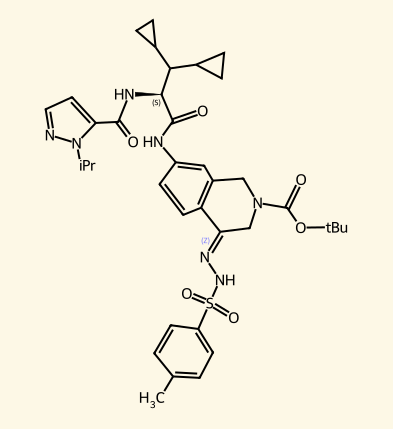 Cc1ccc(S(=O)(=O)N/N=C2\CN(C(=O)OC(C)(C)C)Cc3cc(NC(=O)[C@@H](NC(=O)c4ccnn4C(C)C)C(C4CC4)C4CC4)ccc32)cc1